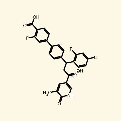 Cc1cc(/C(CC(c2ccc(-c3ccc(C(=O)O)c(F)c3)cc2)c2ccc(Cl)cc2F)=N/O)c[nH]c1=O